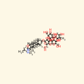 C[C@H]1CC[C@]2(NC1)O[C@H]1C[C@H]3[C@@H]4CC[C@H]5C[C@@H](O[C@@H]6O[C@H](CO)[C@H](O[C@H]7O[C@H](CO)[C@@H](O)[C@H](OC8OC[C@@H](O)[C@H](C)[C@H]8O)[C@H]7O[C@@H]7O[C@H](CO)[C@@H](O)[C@H](O)[C@H]7O)[C@H](O)[C@H]6O)CC[C@]5(C)[C@H]4CC[C@]3(C)[C@H]1[C@@H]2C